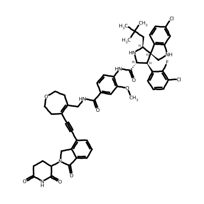 COc1cc(C(=O)NCC2=C(C#Cc3cccc4c3CN(C3CCC(=O)NC3=O)C4=O)CCOCC2)ccc1NC(=O)[C@@H]1N[C@@H](CC(C)(C)C)[C@@]2(CNc3cc(Cl)ccc32)[C@H]1c1cccc(Cl)c1F